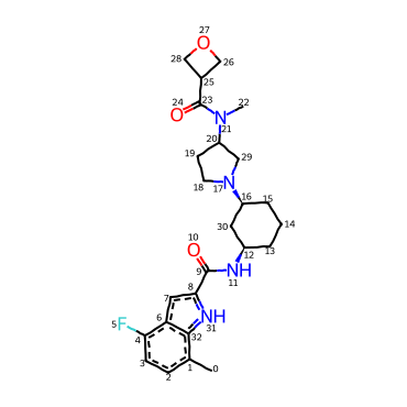 Cc1ccc(F)c2cc(C(=O)N[C@@H]3CCC[C@H](N4CCC(N(C)C(=O)C5COC5)C4)C3)[nH]c12